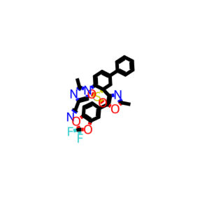 Cc1nc(C2(S(C)(=O)=O)CC(c3ccccc3)=CC=C2n2cc(C#N)nc2C)c(-c2ccc3c(c2)OC(F)(F)O3)o1